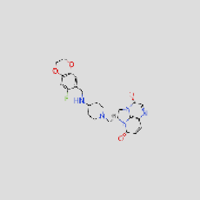 O=c1cnc2ccc(=O)n3c2n1C[C@H]3CN1CCC(NCc2cc3c(cc2F)OCCO3)CC1